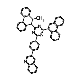 CC1c2ccccc2-c2ccccc2C1c1nc(-c2ccc(-c3cnc4ccccc4c3)cc2)nc(-c2cc3ccccc3c3ccccc23)n1